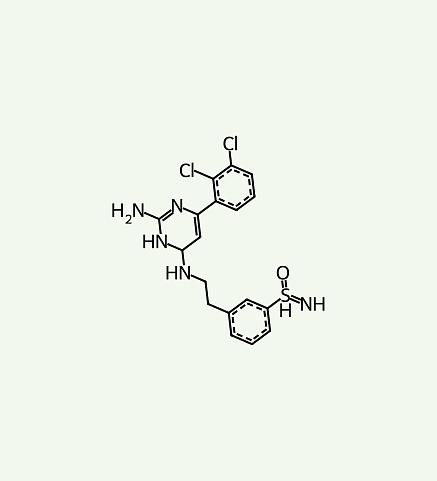 N=[SH](=O)c1cccc(CCNC2C=C(c3cccc(Cl)c3Cl)N=C(N)N2)c1